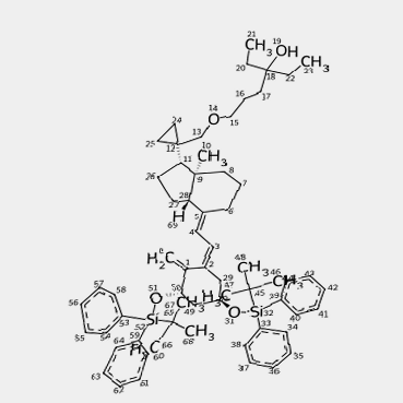 C=C1/C(=C\C=C2/CCC[C@]3(C)[C@@H](C4(COCCCC(O)(CC)CC)CC4)CC[C@@H]23)C[C@@H](O[Si](c2ccccc2)(c2ccccc2)C(C)(C)C)C[C@@H]1O[Si](c1ccccc1)(c1ccccc1)C(C)(C)C